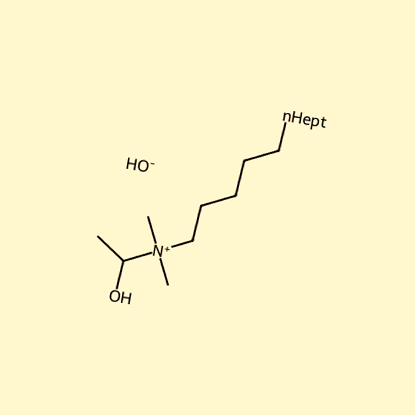 CCCCCCCCCCCC[N+](C)(C)C(C)O.[OH-]